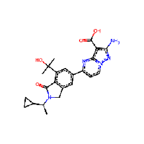 C[C@@H](C1CC1)N1Cc2cc(-c3ccn4nc(N)c(C(=O)O)c4n3)cc(C(C)(C)O)c2C1=O